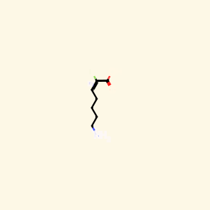 NCCCC/C=C(/F)C(=O)O